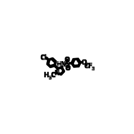 CN1CCC(NS(=O)(=O)c2ccc(OC(F)(F)F)cc2)C1c1ccc(Cl)cc1